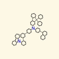 c1ccc(C2(c3ccccc3)c3ccccc3-c3ccc(N(c4ccc(-c5cccc(-c6ccccc6-n6c7ccccc7c7ccccc76)c5)cc4)c4ccc(-c5cccc6ccccc56)cc4)cc32)cc1